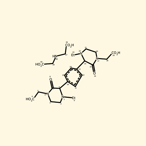 CCN1CCN(CC(=O)O)C(=O)C1c1ccc(C2C(=O)N(CC(=O)O)CCN2CC)cc1.O=C(O)CNCC(=O)O